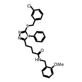 COc1ccccc1CNC(=O)CCCc1nnc(SCc2cccc(Cl)c2)n1-c1ccccc1